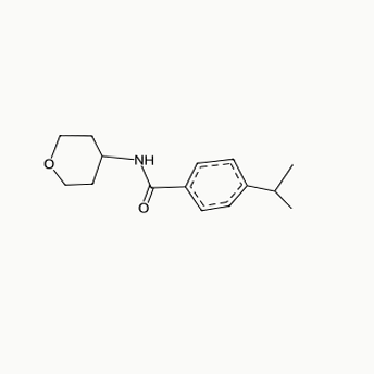 CC(C)c1ccc(C(=O)NC2CCOCC2)cc1